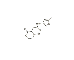 CCN1CCOC(=O)C1CC(=O)Nc1cc(C)on1